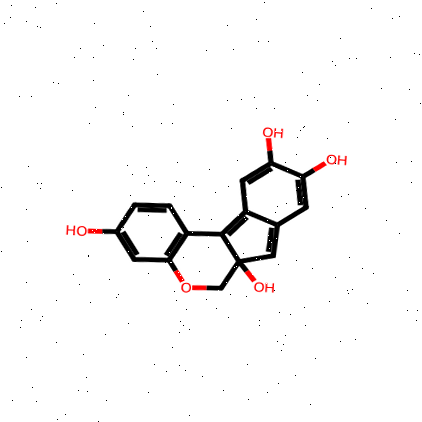 Oc1ccc2c(c1)OCC1(O)C=c3cc(O)c(O)cc3=C21